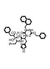 CC(C)CC(NC(=O)[C@H](Cc1c[nH]cn1)NC(=O)[C@@H](Cc1cccc2ccccc12)NC(=O)OCc1ccccc1)P(=O)(O)C(Cc1ccccc1)C(=O)O